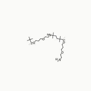 C[C@H](OCCCOCCN)C(C)(C)CCC(C)(C)NCCOCCCO[C@H](C)C(C)(C)C